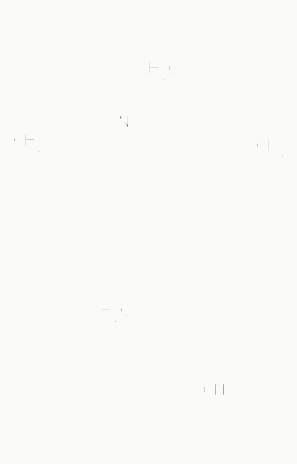 C=CC=C.C=CC=C.C=Cc1ccccc1.c1ccncc1